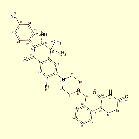 CCc1cc2c(cc1N1CCN(Cc3ccccc3N3CCC(=O)NC3=O)CC1)C(C)(C)c1[nH]c3cc(C#N)ccc3c1C2=O